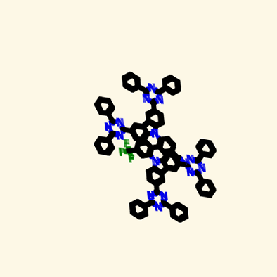 N#Cc1ccc(-n2c3ccc(-c4nc(-c5ccccc5)nc(-c5ccccc5)n4)cc3c3cc(-c4nc(-c5ccccc5)nc(-c5ccccc5)n4)ccc32)c(-c2ccc(C(F)(F)F)cc2-n2c3ccc(-c4nc(-c5ccccc5)nc(-c5ccccc5)n4)cc3c3cc(-c4nc(-c5ccccc5)nc(-c5ccccc5)n4)ccc32)c1